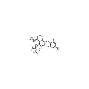 CO/N=C1\CCCc2c(Cc3c(C)cc(Br)cc3C)ccc(O[Si](C(C)C)(C(C)C)C(C)C)c21